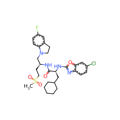 CS(=O)(=O)CC[C@@H](CN1CCc2cc(F)ccc21)NC(=O)[C@H](CC1CCCCC1)Nc1nc2ccc(Cl)cc2o1